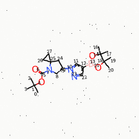 CC(C)(C)OC(=O)N1C[C@H](n2cc(B3OC(C)(C)C(C)(C)O3)cn2)CC12CC2